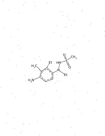 CCc1c(N(CC)NS(C)(=O)=O)ccc(N)c1C